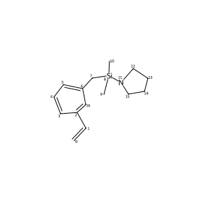 C=Cc1cccc(C[Si](C)(C)N2CCCC2)c1